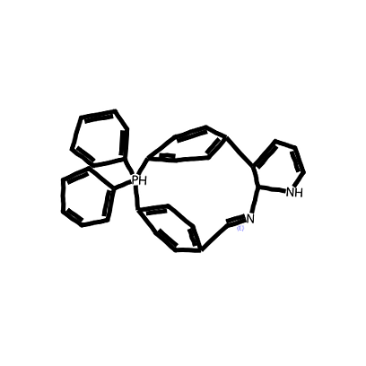 C1=CNC2/N=C/c3ccc(cc3)[PH](c3ccccc3)(c3ccccc3)c3ccc(cc3)C2=C1